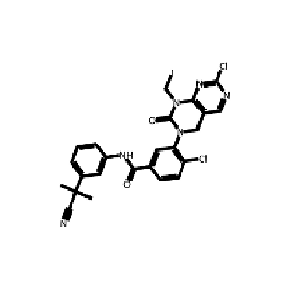 CC(C)(C#N)c1cccc(NC(=O)c2ccc(Cl)c(N3Cc4cnc(Cl)nc4N(CI)C3=O)c2)c1